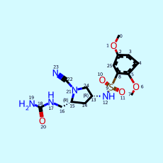 COc1ccc(OC)c(S(=O)(=O)N[C@@H]2C[C@H](CNC(N)=O)N(C#N)C2)c1